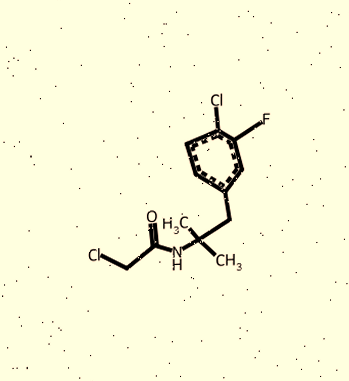 CC(C)(Cc1ccc(Cl)c(F)c1)NC(=O)CCl